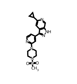 CS(=O)(=O)N1CCN(c2cc(-c3n[nH]c4cnc(C5CC5)cc34)ccn2)CC1